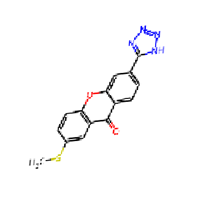 CSc1ccc2oc3cc(-c4nnn[nH]4)ccc3c(=O)c2c1